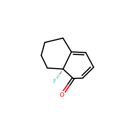 O=C1C=CC=C2CCCC[C@]12F